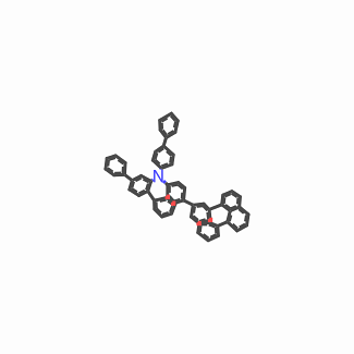 c1ccc(-c2ccc(N(c3ccc(-c4cccc(-c5cccc6cccc(-c7ccccc7)c56)c4)cc3)c3cc(-c4ccccc4)ccc3-c3ccccc3)cc2)cc1